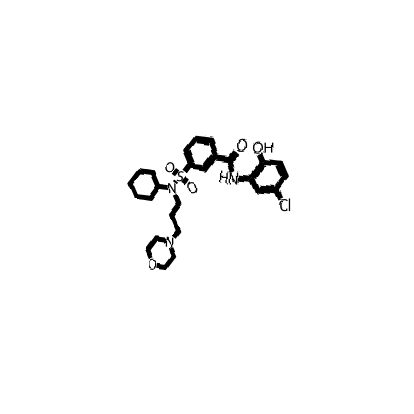 O=C(Nc1cc(Cl)ccc1O)c1cccc(S(=O)(=O)N(CCCN2CCOCC2)C2CCCCC2)c1